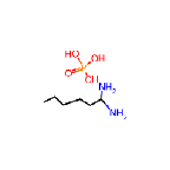 CCCCCC(N)N.O=P(O)(O)O